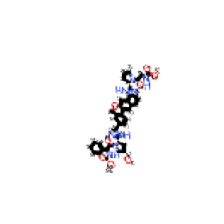 COC[C@H]1C[C@@H](c2ncc(-c3ccc4c(c3)COc3cc5c(ccc6nc([C@@H]7CC[C@H](C)N7C(=O)CNC(=O)OC)[nH]c65)cc3-4)[nH]2)N(C(=O)[C@H](NC(=O)OC)c2ccccc2)C1